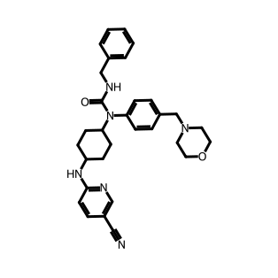 N#Cc1ccc(NC2CCC(N(C(=O)NCc3ccccc3)c3ccc(CN4CCOCC4)cc3)CC2)nc1